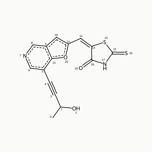 CC(O)C#Cc1cncc2cc(C=C3SC(=S)NC3=O)oc12